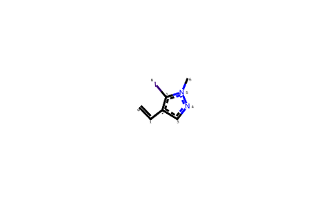 C=Cc1cnn(C)c1I